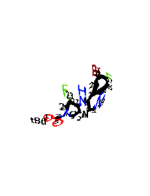 CC(C)(C)OC(=O)N1CCC(Nc2c([N+](=O)[O-])cnc3cc(F)c(Br)cc23)C(F)C1